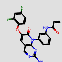 C=CC(=O)Nc1cccc(-n2c(=O)c(Oc3ccc(F)cc3F)cc3cnc(N)nc32)c1